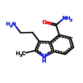 Cc1[nH]c2cc[c]c(C(N)=O)c2c1CCN